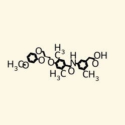 COc1ccc2c(c1)O[C@H](COc1cc(C)c(C(=O)Nc3cc(C)cc(CC(=O)O)c3)cc1C)CO2